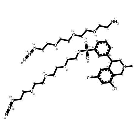 CN1Cc2c(Cl)cc(Cl)cc2C(c2cccc(S(=O)(=O)NCCOCCOCCOCCN=[N+]=[N-])c2)C1.[N-]=[N+]=NCCOCCOCCOCCN